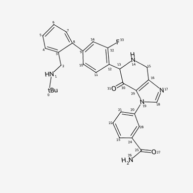 CC(C)(C)NCc1ccccc1-c1ccc(C2NCc3ncn(-c4cccc(C(N)=O)c4)c3C2=O)c(F)c1